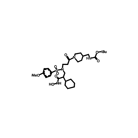 COc1ccc(S(=O)(=O)N(CCC(=O)N2CCC(CNC(=O)OC(C)(C)C)CC2)CC(C(=O)NO)C2CCCCC2)cc1